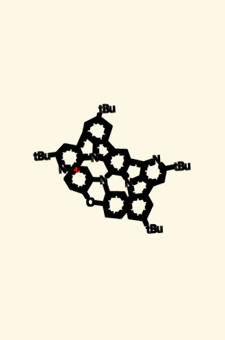 CC(C)(C)c1ccc2c(c1)c1cc(C(C)(C)C)nc3c4cc5c6cc(C(C)(C)C)cc7c8cc(C(C)(C)C)ncc8n(c5c(N5c8ccccc8Oc8ccccc85)c4n2c13)c76